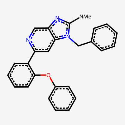 CNc1nc2cnc(-c3ccccc3Oc3ccccc3)cc2n1Cc1ccccc1